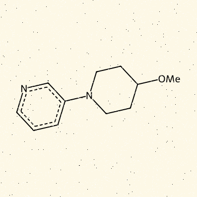 COC1CCN(c2[c]nccc2)CC1